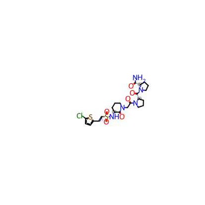 NC(=O)[C@@H]1CCCN1C(=O)[C@@H]1CCCN1C(=O)CN1CCC[C@H](NS(=O)(=O)/C=C/c2ccc(Cl)s2)C1=O